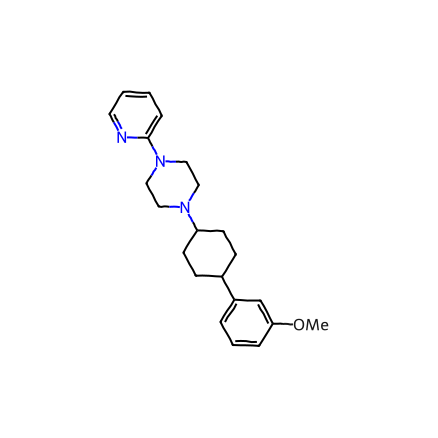 COc1cccc(C2CCC(N3CCN(c4ccccn4)CC3)CC2)c1